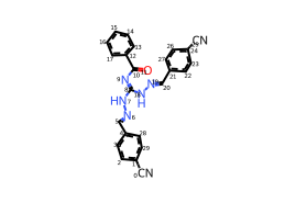 N#Cc1ccc(/C=N/NC(=NC(=O)c2ccccc2)N/N=C/c2ccc(C#N)cc2)cc1